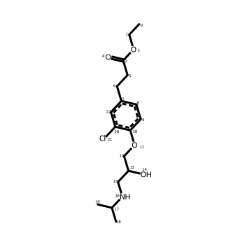 CCOC(=O)CCc1ccc(OCC(O)CNC(C)C)c(Cl)c1